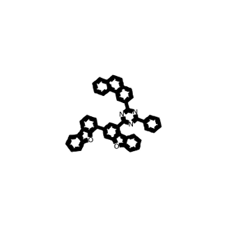 c1ccc(-c2nc(-c3ccc4ccc5ccccc5c4c3)nc(-c3cc(-c4cccc5c4oc4ccccc45)cc4oc5ccccc5c34)n2)cc1